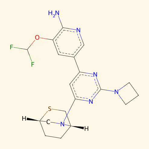 Nc1ncc(-c2cc(N3C[C@@H]4CC[C@H]3CS4)nc(N3CCC3)n2)cc1OC(F)F